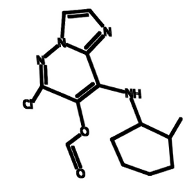 CC1CCCCC1Nc1c(OC=O)c(Cl)nn2ccnc12